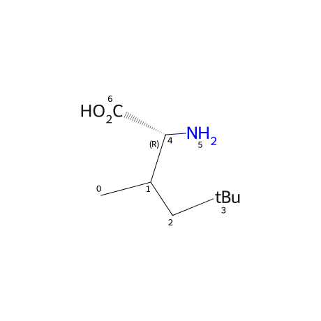 CC(CC(C)(C)C)[C@@H](N)C(=O)O